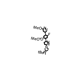 COCOc1cc(-c2cnnc(OC)c2)c(F)cc1-c1ccc(N2CC[C@H](N(C)C(C)(C)C)C2)nn1